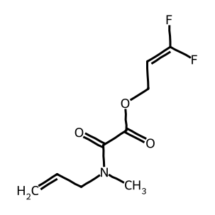 C=CCN(C)C(=O)C(=O)OCC=C(F)F